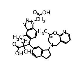 Cc1c(C(c2ccc3c(c2)C(N2Cc4cccnc4O[C@H](C)C2)CC3)C(C)(C)C(=O)O)ccc2c1nnn2C.O=CO